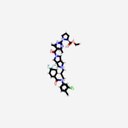 CCOC(=O)[C@@H]1CCCN1c1nc(C)c(C(=O)N2CC3CN(CCCN(C(=O)C4CCC(F)(F)CC4)c4ccc(C)c(Cl)c4)CC3C2)c(C)n1